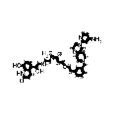 CN(CCNCC(O)c1ccc(O)c2[nH]c(=O)ccc12)C(=O)CCOCCc1cccc(CN2CCC3(CC2)CN(c2cc(N)ccn2)CCO3)c1